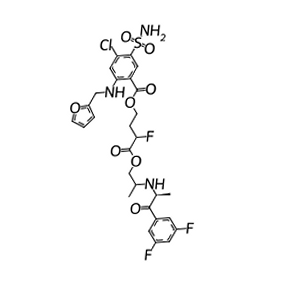 CC(COC(=O)C(F)CCOC(=O)c1cc(S(N)(=O)=O)c(Cl)cc1NCc1ccco1)N[C@@H](C)C(=O)c1cc(F)cc(F)c1